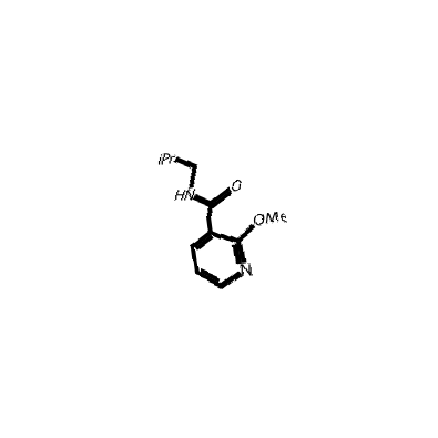 COc1ncccc1C(=O)NCC(C)C